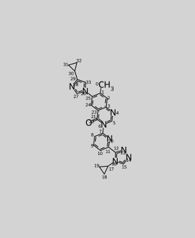 Cc1cc2ncn(-c3cccc(-c4nncn4C4CC4)n3)c(=O)c2cc1-n1cnc(C2CC2)c1